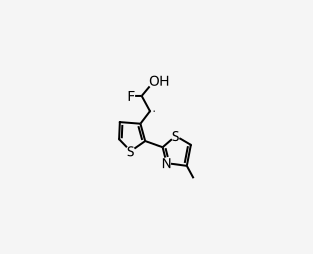 Cc1csc(-c2sccc2[CH]C(O)F)n1